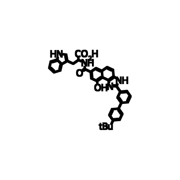 CC(C)(C)c1ccc(-c2cccc(-c3nc4c(ccc5cc(C(=O)NC(Cc6c[nH]c7ccccc67)C(=O)O)cc(O)c54)[nH]3)c2)cc1